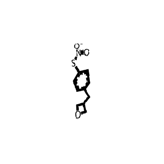 O=[N+]([O-])Sc1ccc(CC2COC2)cc1